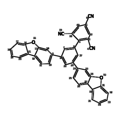 N#Cc1cc(C#N)c(-c2cc(-c3ccc4c(c3)oc3ccccc34)cc(-c3ccc4c(c3)oc3ccccc34)c2)c(C#N)c1